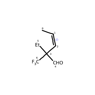 C/C=C\C(C=O)(CC)C(F)(F)F